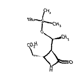 C[C@H](O[Si](C)(C)C(C)(C)C)[C@H]1C(=O)N[C@@H]1CC(=O)O